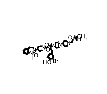 CONC(=O)CN1CCC(N2CCN(C(=O)C(Cc3ccc(O)c(Br)c3)OC(=O)N3CCC(N4CCc5ccccc5NC4=O)CC3)CC2)CC1